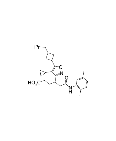 Cc1ccc(C)c(NC(=O)CC(CCC(=O)O)c2noc(C3CC(CC(C)C)C3)c2C2CC2)c1